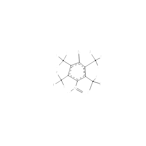 O=[N+]([O-])c1c(C(F)(F)F)c(C(F)(F)F)c(Br)c(C(F)(F)F)c1C(F)(F)F